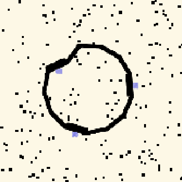 [CH]1/C=C/CC/C=C\CC/C=C\CC1